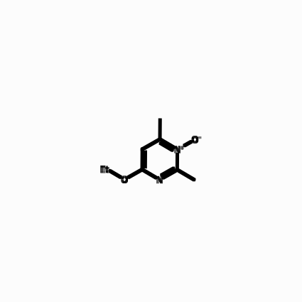 CCOc1cc(C)[n+]([O-])c(C)n1